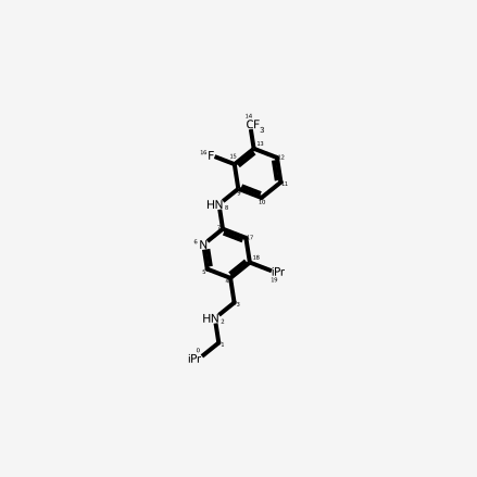 CC(C)CNCc1cnc(Nc2cccc(C(F)(F)F)c2F)cc1C(C)C